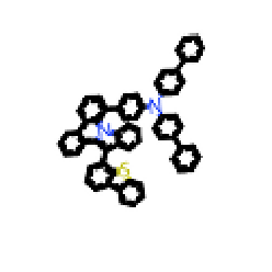 c1ccc(-c2ccc(N(c3ccc(-c4ccccc4)cc3)c3ccc(-c4cccc5c6ccccc6c6c(-c7cccc8c7sc7ccccc78)c7ccccc7n6c45)cc3)cc2)cc1